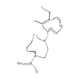 Cc1cccc(N2CCN(C(=O)Cl)CC2)c1C